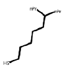 CCCC(CCC)CCCCCS